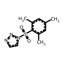 Cc1cc(C)c(S(=O)(=O)n2ccnn2)c(C)c1